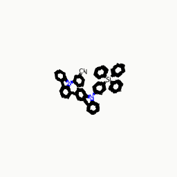 N#Cc1cccc(-n2c3ccccc3c3cccc(-c4ccc5c(c4)c4ccccc4n5-c4ccc([Si](c5ccccc5)(c5ccccc5)c5ccccc5)cc4)c32)c1